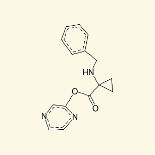 O=C(Oc1cnccn1)C1(NCc2ccccc2)CC1